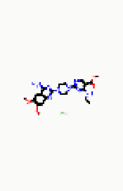 CCNc1nc(N2CCN(c3nc(N)c4cc(OC)c(OC)cc4n3)CC2)ncc1C(=O)OC.Cl